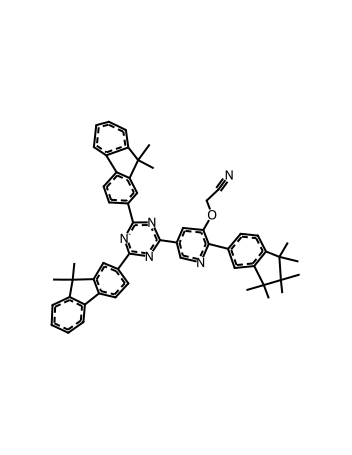 CC1(C)c2ccccc2-c2ccc(-c3nc(-c4cnc(-c5ccc6c(c5)C(C)(C)C(C)(C)C6(C)C)c(OCC#N)c4)nc(-c4ccc5c(c4)C(C)(C)c4ccccc4-5)n3)cc21